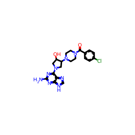 Nc1nc(N2CC(O)C(N3CCN(C(=O)c4ccc(Cl)cc4)CC3)C2)c2nc[nH]c2n1